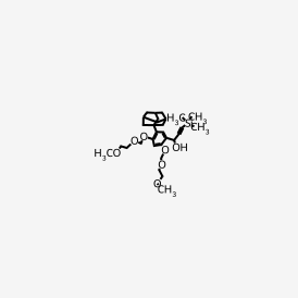 COCCOCOc1cc(OCOCCOC)c(C23CC4CC(CC(C4)C2)C3)cc1C(O)C#C[Si](C)(C)C